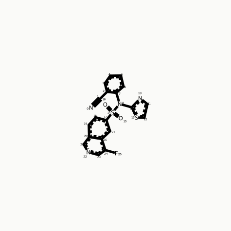 N#Cc1ccccc1N(c1nccs1)S(=O)(=O)c1ccc2cncc(F)c2c1